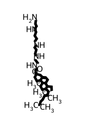 CC(C)CCC[C@@H](C)[C@H]1CCC2C3CC=C4CC(OC(=O)NCCNCCCNCCCCNCCCN)CC[C@]4(C)C3CC[C@@]21C